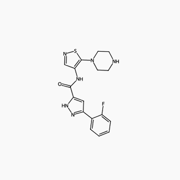 O=C(Nc1cnsc1N1CCNCC1)c1cc(-c2ccccc2F)n[nH]1